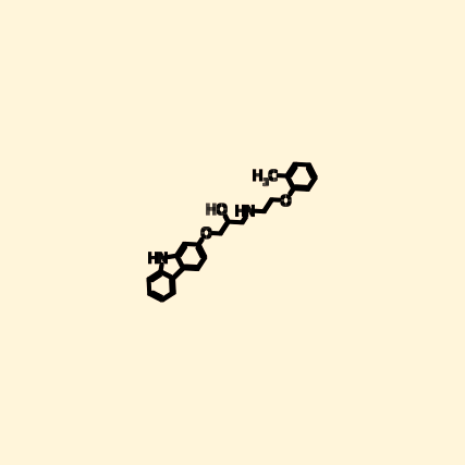 Cc1ccccc1OCCNCC(O)COc1ccc2c(c1)[nH]c1ccccc12